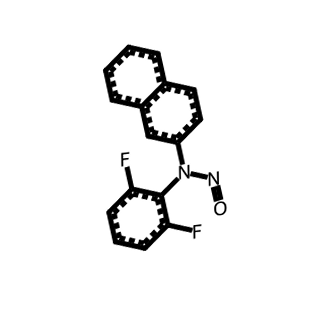 O=NN(c1ccc2ccccc2c1)c1c(F)cccc1F